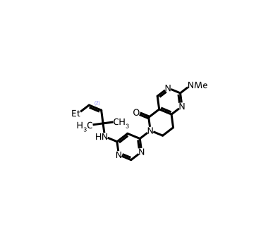 CC/C=C\C(C)(C)Nc1cc(N2CCc3nc(NC)ncc3C2=O)ncn1